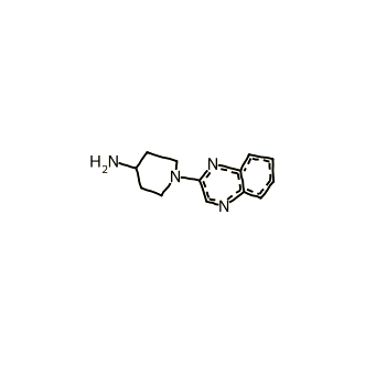 NC1CCN(c2cnc3ccccc3n2)CC1